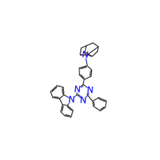 c1ccc(-c2nc(-c3ccc(N4C5CC6CC(C5)CC4C6)cc3)nc(-n3c4ccccc4c4ccccc43)n2)cc1